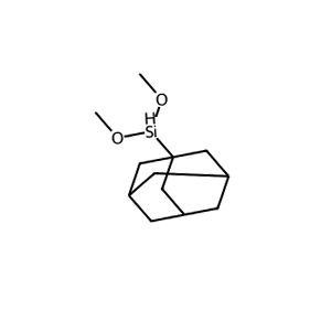 CO[SiH](OC)C12CC3CC(CC(C3)C1)C2